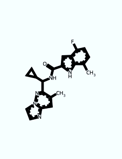 Cc1cc2nccn2nc1C(NC(=O)c1cc2c(F)ccc(C)c2[nH]1)C1CC1